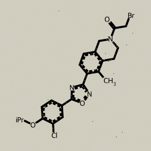 Cc1c(-c2noc(-c3ccc(OC(C)C)c(Cl)c3)n2)ccc2c1CCN(C(=O)CBr)C2